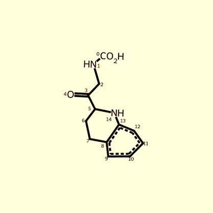 O=C(O)NCC(=O)C1CCc2ccccc2N1